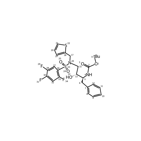 CC(C)(C)OC(=O)N[C@@H](Cc1ccccc1)[C@H](O)CN(Cc1cccs1)S(=O)(=O)c1cc(F)c(F)cc1F